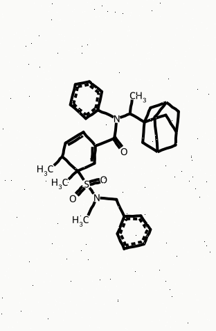 CC(N(C(=O)C1=CC(C)(S(=O)(=O)N(C)Cc2ccccc2)C(C)C=C1)c1ccccc1)C12CC3CC(CC(C3)C1)C2